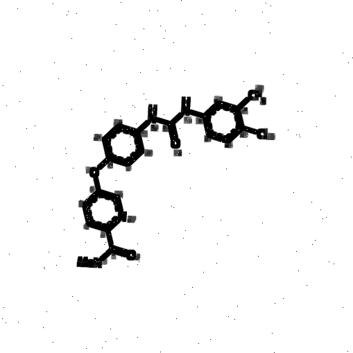 CNC(=O)c1ccc(Oc2ccc(NC(=O)Nc3ccc(Cl)c(C(F)(F)F)c3)cc2)cn1